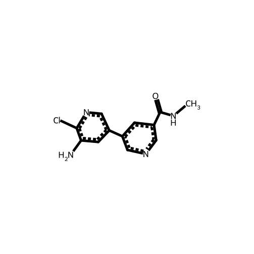 CNC(=O)c1cncc(-c2cnc(Cl)c(N)c2)c1